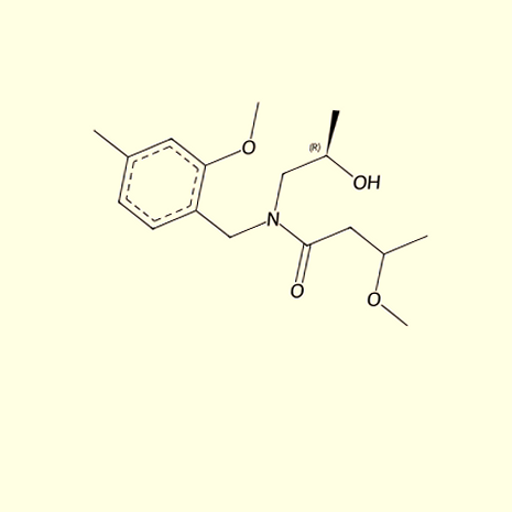 COc1cc(C)ccc1CN(C[C@@H](C)O)C(=O)CC(C)OC